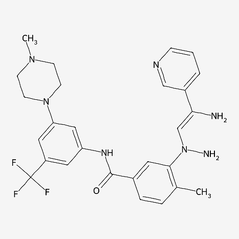 Cc1ccc(C(=O)Nc2cc(N3CCN(C)CC3)cc(C(F)(F)F)c2)cc1N(N)/C=C(\N)c1cccnc1